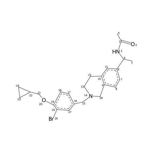 CC(=O)NC(C)c1ccc2c(c1)CCN(Cc1ccc(OCC3CC3)c(Br)c1)C2